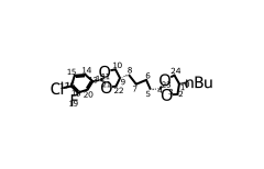 CCCC[C@H]1CO[C@H](CCCC[C@H]2CO[C@H](c3ccc(Cl)c(F)c3)OC2)OC1